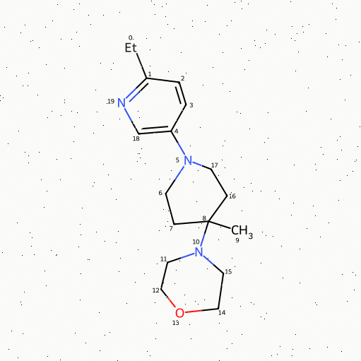 CCc1ccc(N2CCC(C)(N3CCOCC3)CC2)cn1